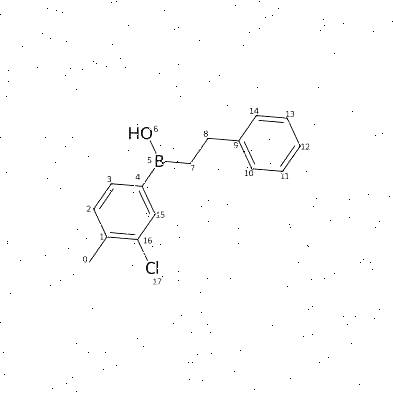 Cc1ccc(B(O)CCc2ccccc2)cc1Cl